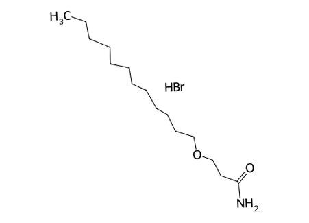 Br.CCCCCCCCCCCCOCCC(N)=O